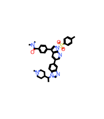 Cc1ccc(S(=O)(=O)n2cc(-c3ccc(C(=O)N(C)C)cc3)c3cc(-c4ccc5c(c4)ncn5C(C)C4CCN(C)CC4)cnc32)cc1